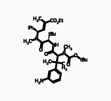 CCOC(=O)/C(C)=C/[C@H](C(C)C)N(C)C(=O)[C@@H](NC(=O)C(N(C)C(=O)OC(C)(C)C)C(C)(C)c1cccc(N)c1)C(C)(C)C